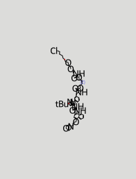 CC(C)(C)c1cc(NC(=O)Nc2ccc(OCCN3CCOCC3)c3ccccc23)n(-c2cccc(CNC(=O)OC/C=C\COC(=O)NCCOCCOCCCCCCCl)c2)n1